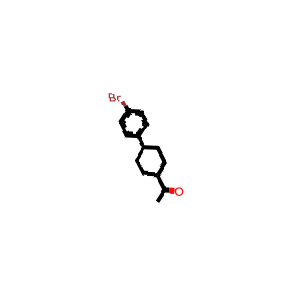 CC(=O)C1CCC(c2ccc(Br)cc2)CC1